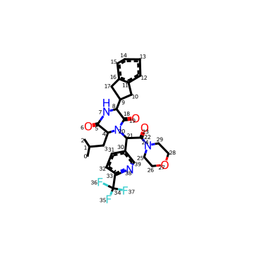 CC(C)CC1C(=O)NC(C2Cc3ccccc3C2)C(=O)N1C(C(=O)N1CCOCC1)c1ccc(C(F)(F)F)nc1